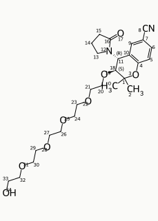 CC1(C)Oc2ccc(C#N)cc2[C@@H](N2CCCC2=O)[C@@H]1OCCOCCOCCOCCOCCO